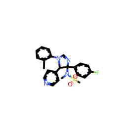 Cc1ccccc1N1C=NC(c2ccc(F)cc2)(N(C)S(C)(=O)=O)C1c1ccncc1